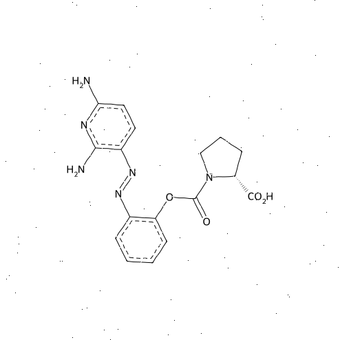 Nc1ccc(/N=N/c2ccccc2OC(=O)N2CCC[C@@H]2C(=O)O)c(N)n1